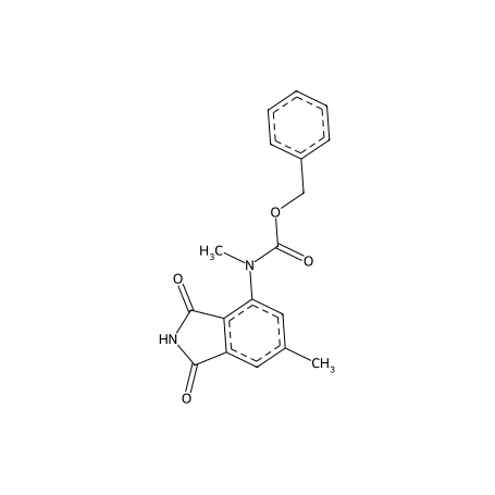 Cc1cc2c(c(N(C)C(=O)OCc3ccccc3)c1)C(=O)NC2=O